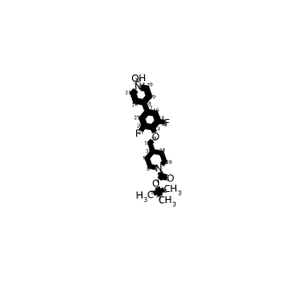 CC(C)(C)OC(=O)N1CCC(COc2c(F)cc(-c3cc[n+](O)cc3)cc2F)CC1